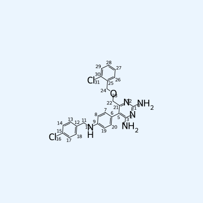 Nc1nc(N)c(-c2ccc(NCc3ccc(Cl)cc3)cc2)c(COCc2ccccc2Cl)n1